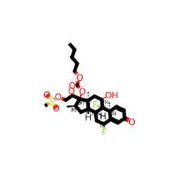 CCCCCOC(=O)O[C@]1(C(=O)COS(C)(=O)=O)[C@H](C)C[C@H]2[C@@H]3C[C@H](F)C4=CC(=O)C=C[C@]4(C)[C@@]3(F)[C@@H](O)C[C@@]21C